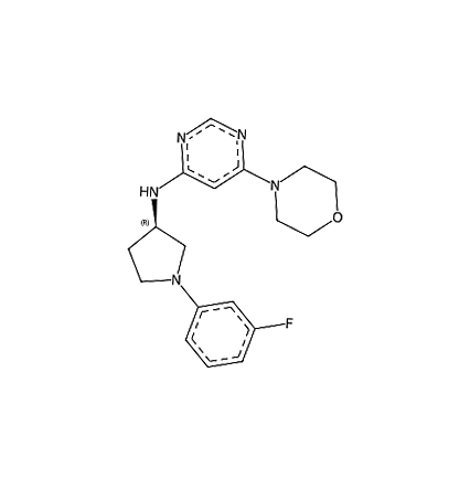 Fc1cccc(N2CC[C@@H](Nc3cc(N4CCOCC4)ncn3)C2)c1